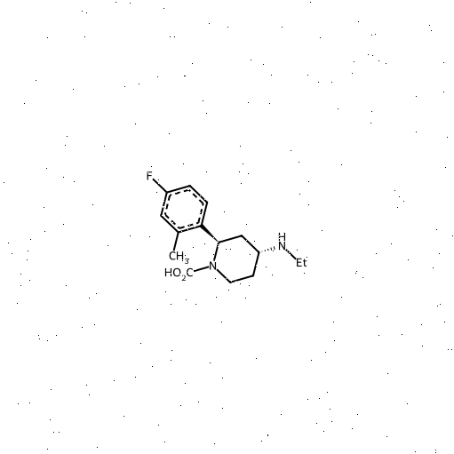 CCN[C@@H]1CCN(C(=O)O)[C@@H](c2ccc(F)cc2C)C1